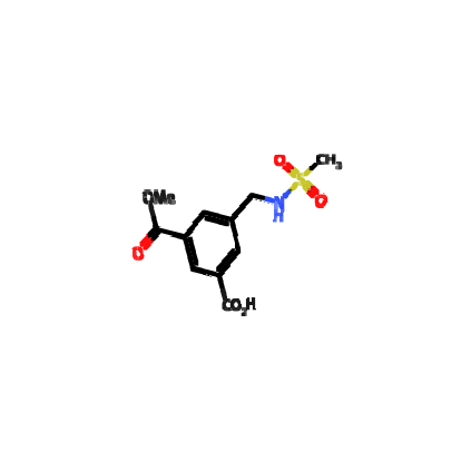 COC(=O)c1cc(CNS(C)(=O)=O)cc(C(=O)O)c1